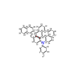 Cc1ccc(N(c2ccc(C)cc2)c2ccc3cccc4c5cccc6c(-c7ccc8ccccc8c7)ccc(c2c34)c65)cc1